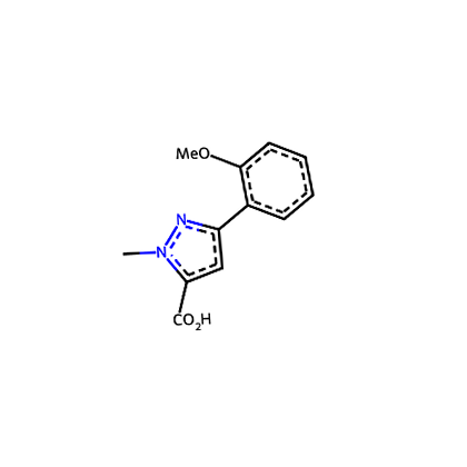 COc1ccccc1-c1cc(C(=O)O)n(C)n1